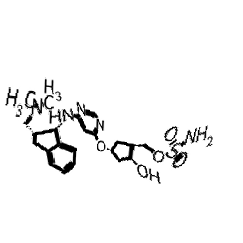 CN(C)C[C@H]1Cc2ccccc2[C@H]1Nc1cc(O[C@@H]2C[C@@H](COS(N)(=O)=O)[C@@H](O)C2)ncn1